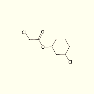 O=C([CH]Cl)OC1CCCC(Cl)C1